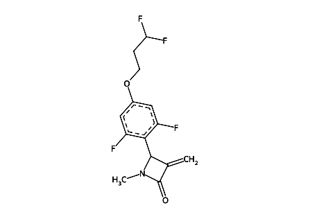 C=C1C(=O)N(C)C1c1c(F)cc(OCCC(F)F)cc1F